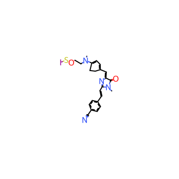 CN(CCOSI)C1=CC=C(/C=C2N=C(/C=C/c3ccc(C#N)cc3)N(C)C\2=O)CC1